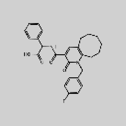 O=C(NC(C(=O)O)c1ccccc1)c1cc2c(n(Cc3ccc(F)cc3)c1=O)CCCCCC2